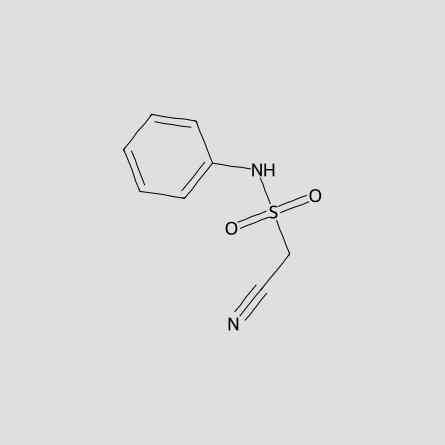 N#CCS(=O)(=O)Nc1ccccc1